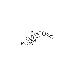 COC(=O)c1ccccc1NC(=O)CC1=CC=C(Oc2ccc(OCc3ccccc3)cc2)N(C)C1